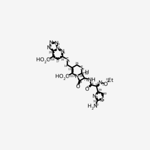 CCON=C(C(=O)NC1C(=O)N2C(C(=O)O)=C(CSc3cc(C(=O)O)c4nnnn4n3)CS[C@@H]12)c1csc(N)n1